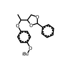 CCC(C)Oc1ccc(OC(C)C2COC(c3ccccc3)O2)cc1